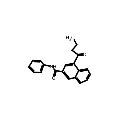 CCCC(=O)c1cc(C(=O)Nc2[c]cccc2)cc2ccccc12